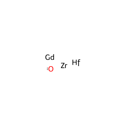 [Gd].[Hf].[O].[Zr]